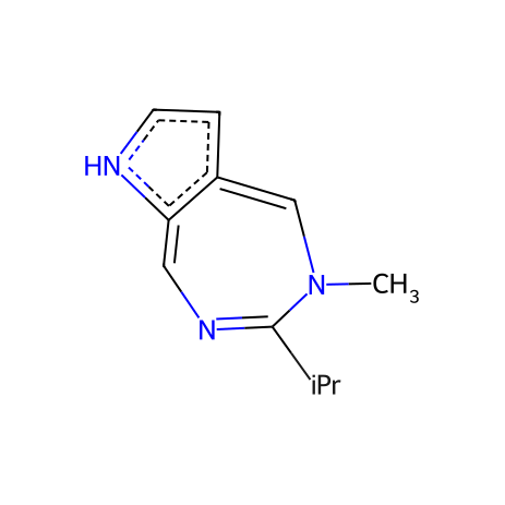 CC(C)C1=NC=c2[nH]ccc2=CN1C